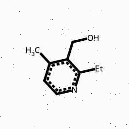 CCc1nccc(C)c1CO